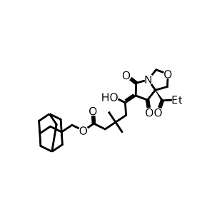 CCC(=O)[C@]12COCN1C(=O)/C(=C(\O)CC(C)(C)CC(=O)OCC13CC4CC(CC(C4)C1)C3)C2=O